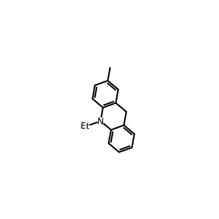 CCN1c2ccccc2Cc2cc(C)ccc21